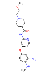 CNc1ccc(Oc2ccnc(NC(=O)C3CCN(CCOC)CC3)c2)cc1N